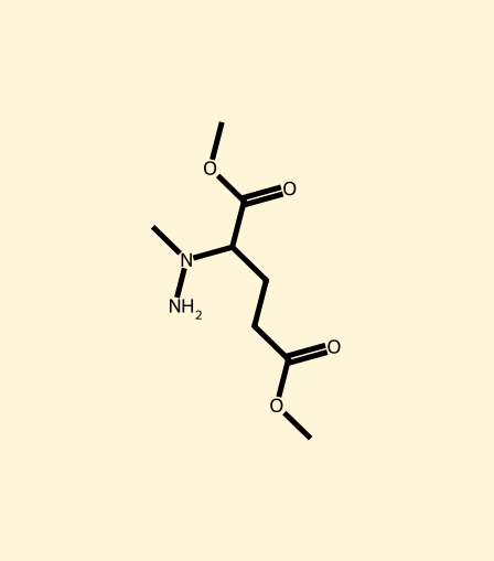 COC(=O)CCC(C(=O)OC)N(C)N